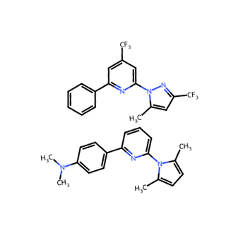 Cc1cc(C(F)(F)F)nn1-c1cc(C(F)(F)F)cc(-c2ccccc2)n1.Cc1ccc(C)n1-c1cccc(-c2ccc(N(C)C)cc2)n1